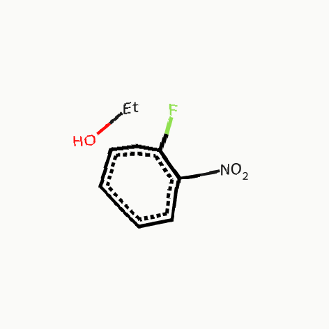 CCO.O=[N+]([O-])c1ccccc1F